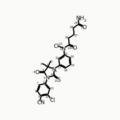 CC1(C)C(=O)N(c2ccc(C#N)c(Cl)c2)C(=S)N1c1cccc(N(Cl)C(=O)CCCC(N)=O)c1